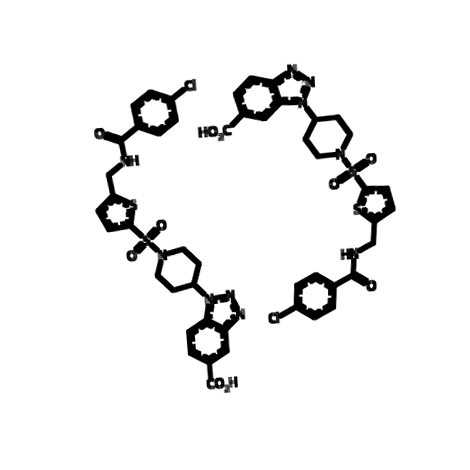 O=C(O)c1ccc2c(c1)nnn2C1CCN(S(=O)(=O)c2ccc(CNC(=O)c3ccc(Cl)cc3)s2)CC1.O=C(O)c1ccc2nnn(C3CCN(S(=O)(=O)c4ccc(CNC(=O)c5ccc(Cl)cc5)s4)CC3)c2c1